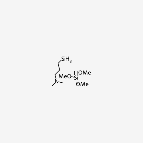 CN(C)CCC[SiH3].CO[SiH](OC)OC